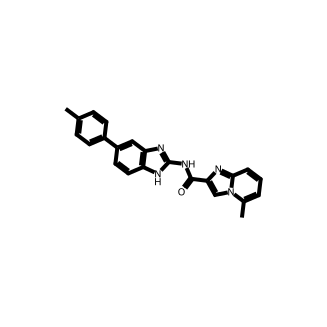 Cc1ccc(-c2ccc3[nH]c(NC(=O)c4cn5c(C)cccc5n4)nc3c2)cc1